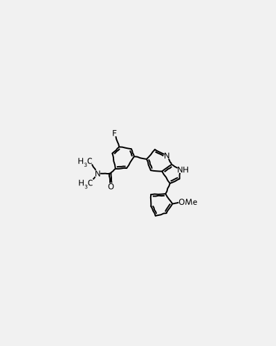 COc1ccccc1-c1c[nH]c2ncc(-c3cc(F)cc(C(=O)N(C)C)c3)cc12